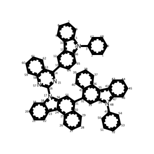 c1ccc(-n2c3ccccc3c3cc(-c4nc(-n5c6ccccc6c6c7ccccc7c(-c7cc8c(c9ccccc79)c7ccccc7n8-c7ccccc7)cc65)nc5ccccc45)ccc32)cc1